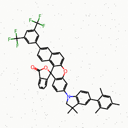 Cc1cc(C)c(-c2ccc3c(c2)C(C)(C)CN3c2ccc3c(c2)Oc2ccc4cc(-c5cc(C(F)(F)F)cc(C(F)(F)F)c5)ccc4c2C32OC(=O)c3ccccc32)c(C)c1